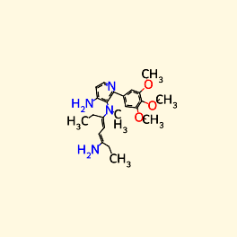 CC/C(N)=C\C=C(/CC)N(C)c1c(N)ccnc1-c1cc(OC)c(OC)c(OC)c1